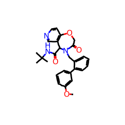 COc1cccc(-c2ccccc2CN2C(=O)COc3ccncc3C2C(=O)NC(C)(C)C)c1